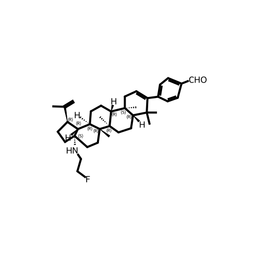 C=C(C)[C@@H]1CC[C@]2(NCCF)CC[C@]3(C)[C@H](CC[C@@H]4[C@@]5(C)CC=C(c6ccc(C=O)cc6)C(C)(C)[C@@H]5CC[C@]43C)[C@@H]12